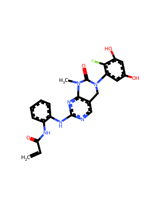 C=CC(=O)Nc1ccccc1Nc1ncc2c(n1)N(C)C(=O)N(c1cc(O)cc(O)c1F)C2